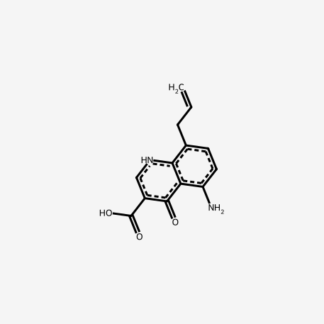 C=CCc1ccc(N)c2c(=O)c(C(=O)O)c[nH]c12